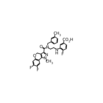 Cc1cccc(CN(CCNc2cc(C(=O)O)ccc2F)C(=O)c2nn(C)c3c2COc2cc(F)c(F)cc2-3)c1